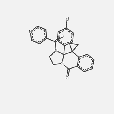 O=C(c1ccncc1)N1CCN2C(=O)c3ccccc3C3(CC3)C12c1ccc(Cl)cc1